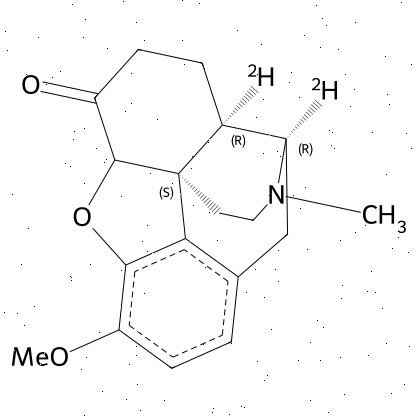 [2H][C@@]12CCC(=O)C3Oc4c(OC)ccc5c4[C@@]31CCN(C)[C@]2([2H])C5